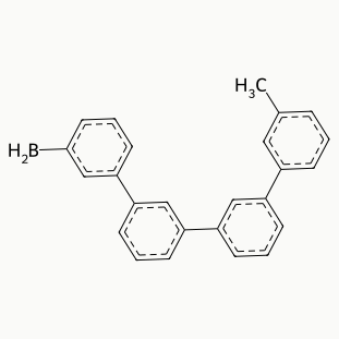 Bc1cccc(-c2cccc(-c3cccc(-c4cccc(C)c4)c3)c2)c1